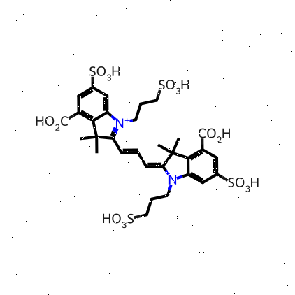 CC1(C)C(/C=C/C=C2/N(CCCS(=O)(=O)O)c3cc(S(=O)(=O)O)cc(C(=O)O)c3C2(C)C)=[N+](CCCS(=O)(=O)O)c2cc(S(=O)(=O)O)cc(C(=O)O)c21